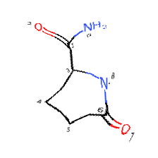 NC(=O)C1CCC(=O)[N]1